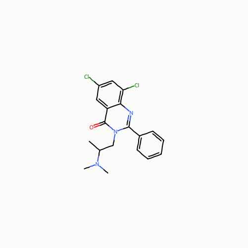 CC(Cn1c(-c2ccccc2)nc2c(Cl)cc(Cl)cc2c1=O)N(C)C